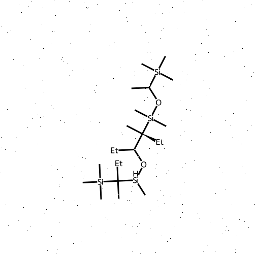 CCC(O[SiH](C)C(C)(CC)[Si](C)(C)C)[C@@](C)(CC)[Si](C)(C)OC(C)[Si](C)(C)C